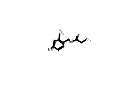 O=C(CC(F)(F)F)NCc1ccc(Br)cc1C(F)(F)F